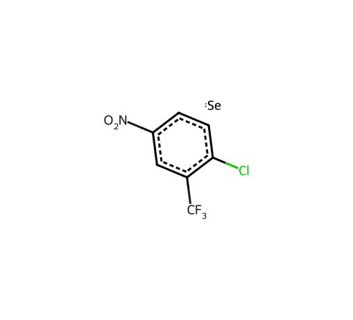 O=[N+]([O-])c1ccc(Cl)c(C(F)(F)F)c1.[Se]